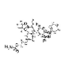 CCC(B1OC(C)(C)C(C)(C)O1)=C(c1ccc(OCCOC(N)=O)cc1)c1cc2c(F)nn(C3CCCCO3)c2cc1F